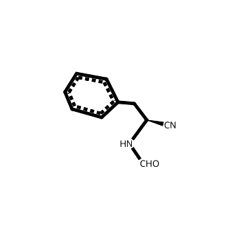 N#C[C@H](Cc1ccccc1)NC=O